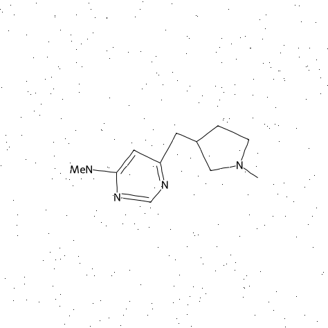 CNc1cc(CC2CCN(C)C2)ncn1